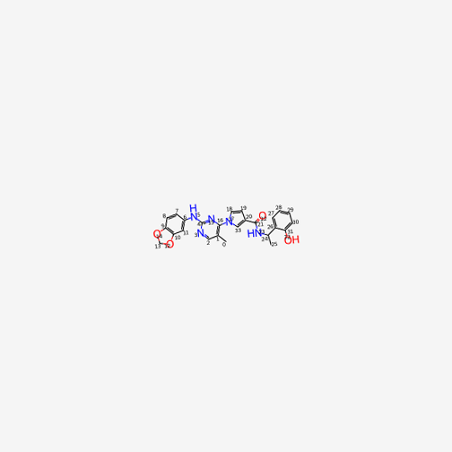 Cc1cnc(Nc2ccc3c(c2)OCO3)nc1-n1ccc(C(=O)NC(C)c2ccccc2O)c1